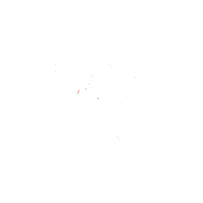 CCNc1ccc2c(c1)C1(Oc3ccc(C)cc3-c3nc4ccccn4c31)c1ccc(N(CC)CC)cc1O2